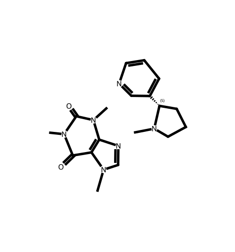 CN1CCC[C@H]1c1cccnc1.Cn1c(=O)c2c(ncn2C)n(C)c1=O